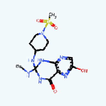 CCC(C)NC1(NC2CCN(S(C)(=O)=O)CC2)NC(=O)c2nc(O)cnc2N1